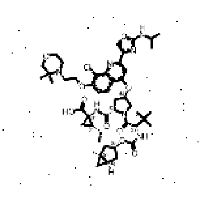 CC[C@@H]1C[C@]1(NC(=O)[C@@H]1C[C@@H](Oc2cc(-c3coc(NC(C)C)n3)nc3c(Cl)c(OCCN4CCOCC4(C)C)ccc23)CN1C(=O)[C@@H](NC(=O)O[C@@H]1C[C@@H]2C[C@@H]2C1)C(C)(C)C)C(=O)O